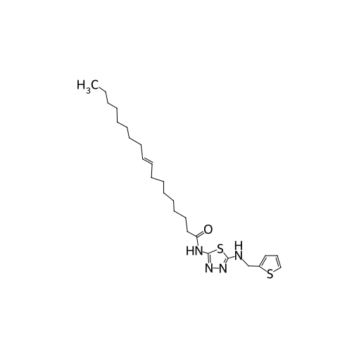 CCCCCCCC/C=C/CCCCCCCC(=O)Nc1nnc(NCc2cccs2)s1